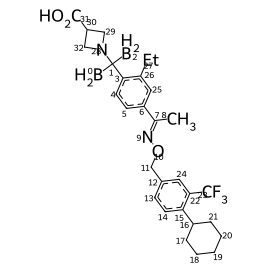 BC(B)(c1ccc(/C(C)=N/OCc2ccc(C3CCCCC3)c(C(F)(F)F)c2)cc1CC)N1CC(C(=O)O)C1